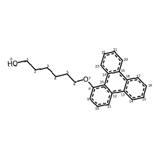 OCCCCCCOc1cccc2c3ccccc3c3ccccc3c12